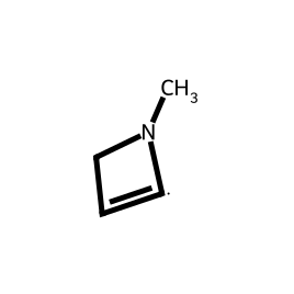 CN1[C]=CC1